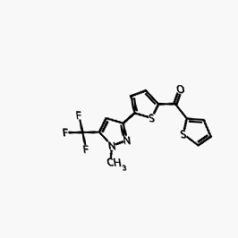 Cn1nc(-c2ccc(C(=O)c3cccs3)s2)cc1C(F)(F)F